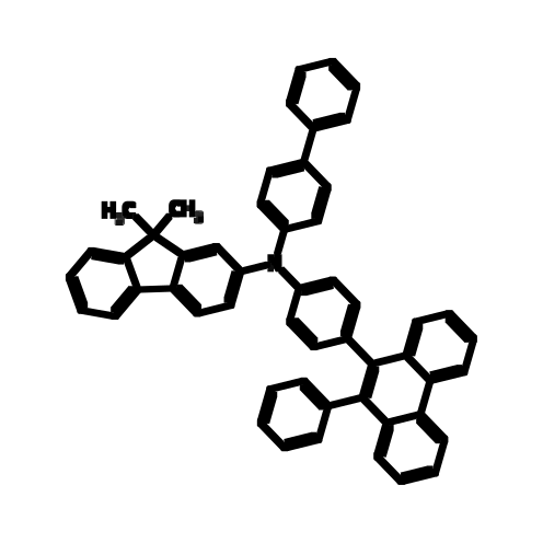 CC1(C)c2ccccc2-c2ccc(N(c3ccc(-c4ccccc4)cc3)c3ccc(-c4c(-c5ccccc5)c5ccccc5c5ccccc45)cc3)cc21